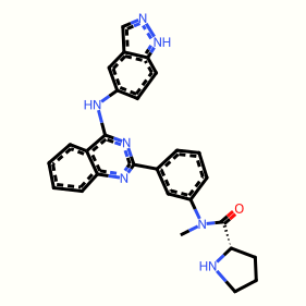 CN(C(=O)[C@@H]1CCCN1)c1cccc(-c2nc(Nc3ccc4[nH]ncc4c3)c3ccccc3n2)c1